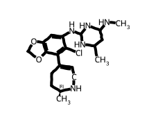 CNC1CC(C)NC(Nc2cc3c(c(C4=CCN[C@H](C)CC4)c2Cl)OCO3)N1